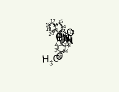 COc1ccc(O)c(/C=N\NC(=O)c2ccc3ccccc3c2O)c1